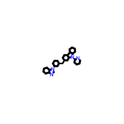 c1ccc(-n2c3ccccc3c3ccc(Cc4cccc(-n5cnc6ccccc65)c4)cc32)nc1